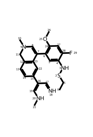 CCSNc1cc(C2=CN(C)Cc3ccc(/C(C=N)=C/NC)cc32)c(OC)cc1F